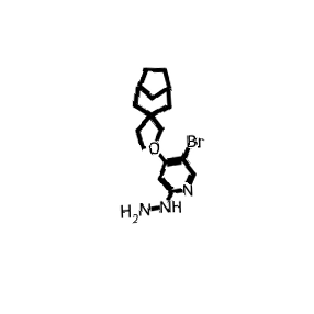 CCC1(COc2cc(NN)ncc2Br)CC2CCC(C2)C1